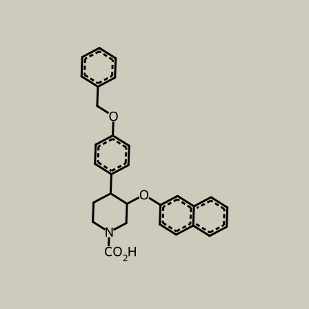 O=C(O)N1CCC(c2ccc(OCc3ccccc3)cc2)C(Oc2ccc3ccccc3c2)C1